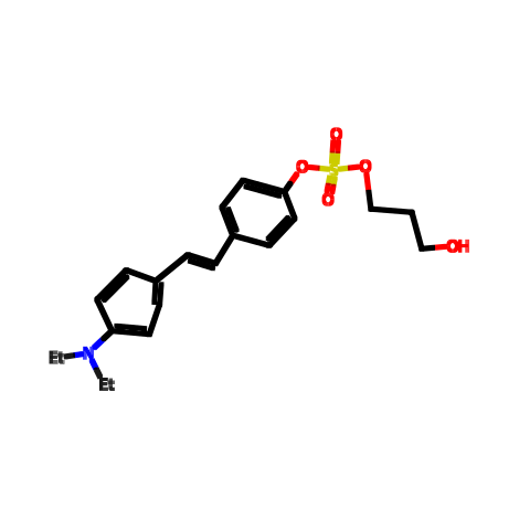 CCN(CC)c1ccc(C=Cc2ccc(OS(=O)(=O)OCCCO)cc2)cc1